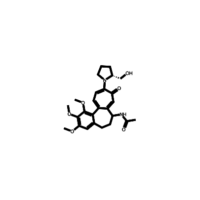 COc1cc2c(c(OC)c1OC)-c1ccc(N3CCC[C@@H]3CO)c(=O)cc1C(NC(C)=O)CC2